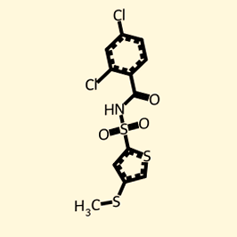 CSc1csc(S(=O)(=O)NC(=O)c2ccc(Cl)cc2Cl)c1